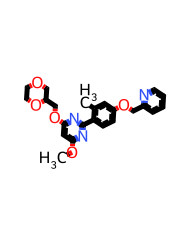 COc1cc(OCC2COCCO2)nc(-c2ccc(OCc3ccccn3)cc2C)n1